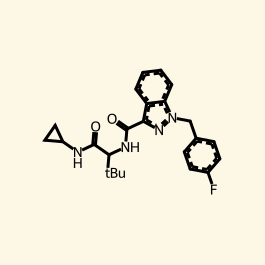 CC(C)(C)C(NC(=O)c1nn(Cc2ccc(F)cc2)c2ccccc12)C(=O)NC1CC1